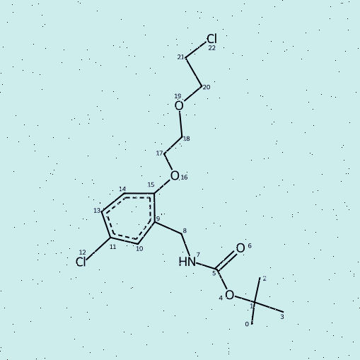 CC(C)(C)OC(=O)NCc1cc(Cl)ccc1OCCOCCCl